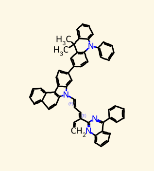 C=C/C(=C\C=C\n1c2cc(-c3ccc4c(c3)C(C)(C)c3ccccc3N4c3ccccc3)ccc2c2c3ccccc3ccc21)c1nc(-c2ccccc2)c2ccccc2n1